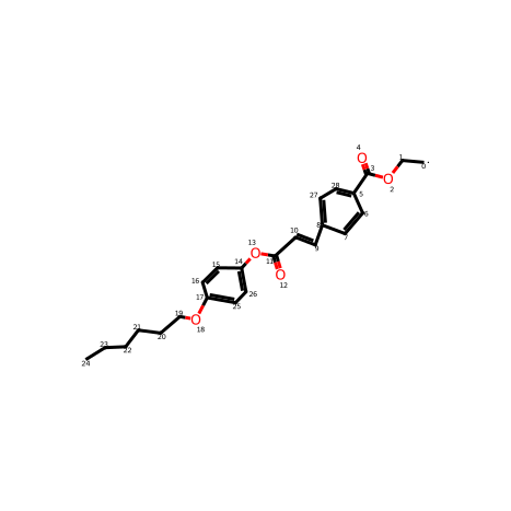 [CH2]COC(=O)c1ccc(/C=C/C(=O)Oc2ccc(OCCCCCC)cc2)cc1